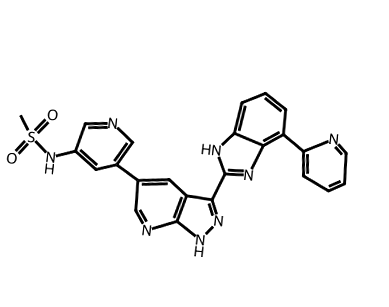 CS(=O)(=O)Nc1cncc(-c2cnc3[nH]nc(-c4nc5c(-c6ccccn6)cccc5[nH]4)c3c2)c1